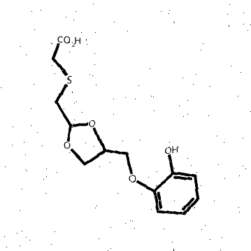 O=C(O)CSCC1OCC(COc2ccccc2O)O1